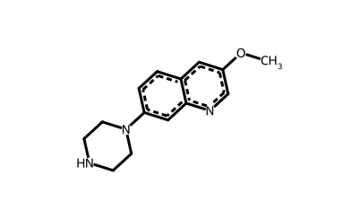 COc1cnc2cc(N3CCNCC3)ccc2c1